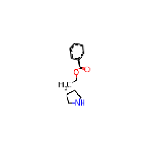 C1CCNC1.CCOC(=O)c1ccccc1